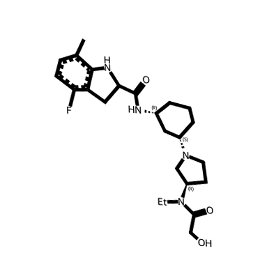 CCN(C(=O)CO)[C@@H]1CCN([C@H]2CCC[C@@H](NC(=O)C3Cc4c(F)ccc(C)c4N3)C2)C1